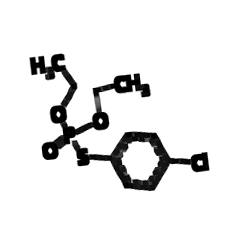 CCOP(=O)(OCC)Sc1ccc(Cl)cc1